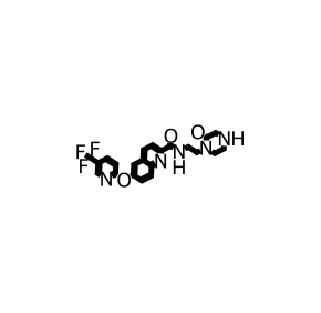 O=C(NCCN1CCNCC1=O)c1ccc2cc(Oc3ccc(C(F)(F)F)cn3)ccc2n1